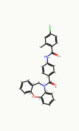 Cc1cc(Cl)ccc1C(=O)Nc1ccc(C(=O)N2Cc3ccccc3Oc3ccccc32)cc1